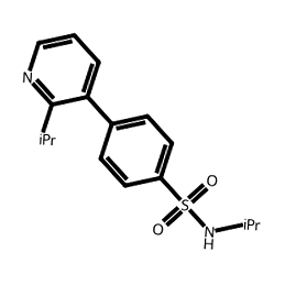 CC(C)NS(=O)(=O)c1ccc(-c2cccnc2C(C)C)cc1